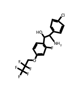 NC(c1ccc(Cl)cc1)C(O)c1ccc(OCC(F)(F)C(F)(F)F)cc1F